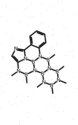 CB1N(C)B(C)N2B(N1C)N1B(C)N(C)c3cnc4n3B1N(B2C)c1ccccc1-4